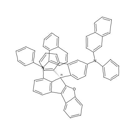 c1ccc(N(c2ccc3c(c2)-c2ccccc2[C@@]32c3oc4ccccc4c3-c3cccc(N(c4ccccc4)c4cccc5ccccc45)c32)c2ccc3ccccc3c2)cc1